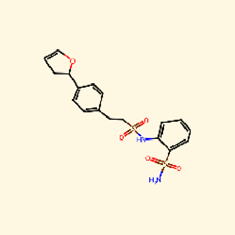 NS(=O)(=O)c1ccccc1NS(=O)(=O)CCc1ccc(C2CC=CO2)cc1